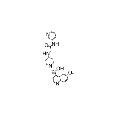 COc1ccc2nccc([C@H](O)CN3CCC(NCC(=O)Nc4cccnc4)CC3)c2c1